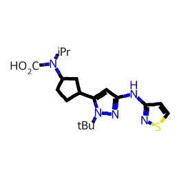 CC(C)N(C(=O)O)C1CCC(c2cc(Nc3ccsn3)nn2C(C)(C)C)C1